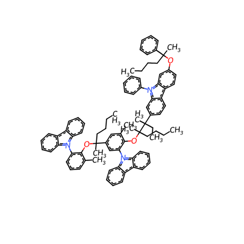 CCCCC(C)(Oc1ccc2c3ccc(C(C)(CC)C(C)(CCCC)Oc4c(C)cc(C(C)(CCCC)Oc5c(C)cccc5-n5c6ccccc6c6ccccc65)cc4-n4c5ccccc5c5ccccc54)cc3n(-c3ccccc3)c2c1)c1ccccc1